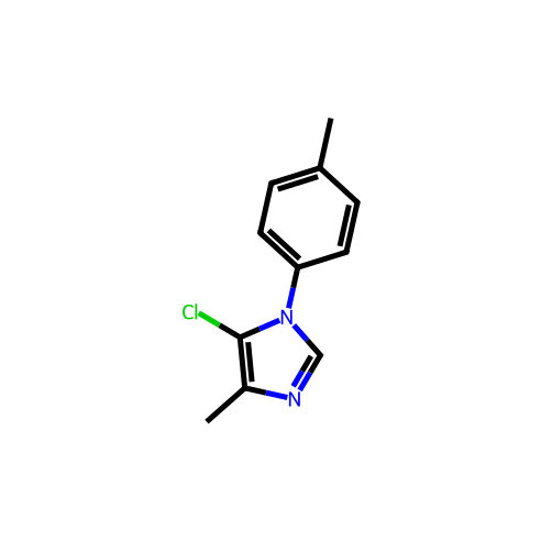 Cc1ccc(-n2cnc(C)c2Cl)cc1